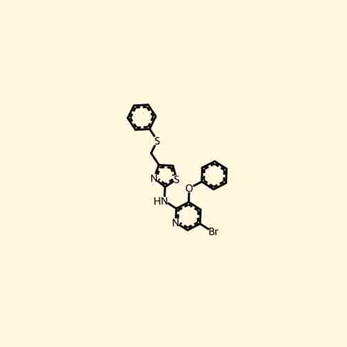 Brc1cnc(Nc2nc(CSc3ccccc3)cs2)c(Oc2ccccc2)c1